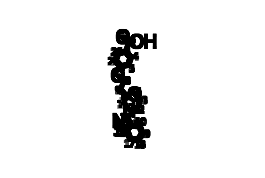 O=C(O)c1ccc(OCCC2CN(c3nsc4ccccc34)CCO2)cc1